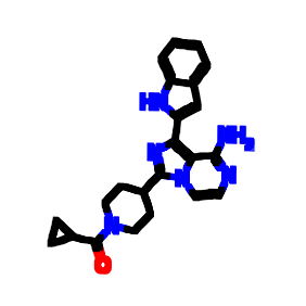 Nc1nccn2c(C3CCN(C(=O)C4CC4)CC3)nc(-c3cc4ccccc4[nH]3)c12